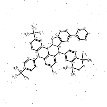 Cc1cc2c3c(c1)N(c1ccc4c(c1)C(C)(C)CCC4(C)C)C1c4cc(-c5ccccc5)ccc4OC1B3c1cc(C(C)(C)C)ccc1N2c1ccc(C(C)(C)C)cc1